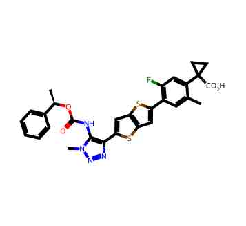 Cc1cc(-c2cc3sc(-c4nnn(C)c4NC(=O)O[C@H](C)c4ccccc4)cc3s2)c(F)cc1C1(C(=O)O)CC1